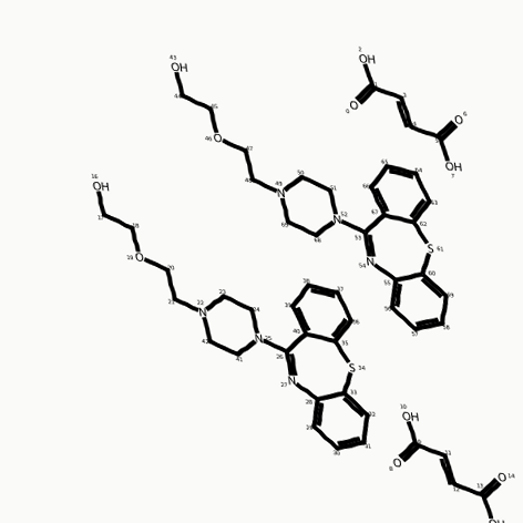 O=C(O)/C=C/C(=O)O.O=C(O)/C=C/C(=O)O.OCCOCCN1CCN(C2=Nc3ccccc3Sc3ccccc32)CC1.OCCOCCN1CCN(C2=Nc3ccccc3Sc3ccccc32)CC1